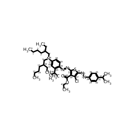 CCCCC(CC)CN(CC(CC)CCCC)c1ccc(N=Nc2sc(N=Nc3ccc(C(C)C)cc3)c(Cl)c2C(=O)OCC)c(C(C)C)c1